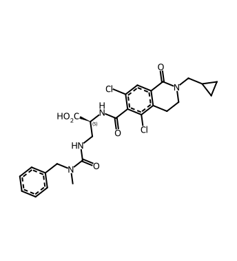 CN(Cc1ccccc1)C(=O)NC[C@H](NC(=O)c1c(Cl)cc2c(c1Cl)CCN(CC1CC1)C2=O)C(=O)O